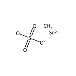 C.O=S(=O)([O-])[O-].[Sn+2]